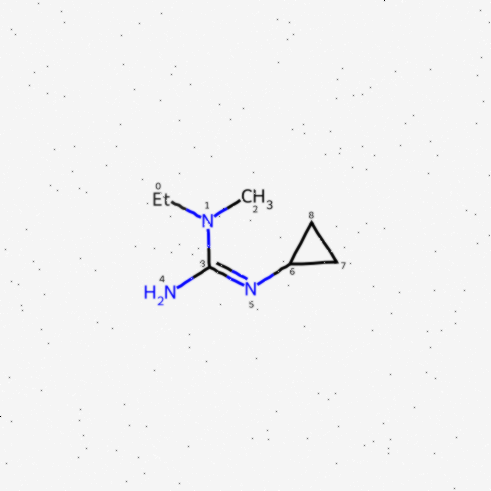 CCN(C)C(N)=NC1CC1